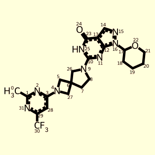 Cc1nc(N2CC3(CCN(c4nc5c(cnn5C5CCCCO5)c(=O)[nH]4)C3)C2)cc(C(F)(F)F)n1